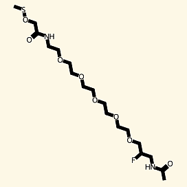 CSOCC(=O)NCCOCCOCCOCCOCCOCC(F)CNC(C)=O